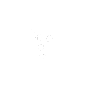 COS(=O)(=O)c1ccc(-n2nc(C(F)(F)F)cc2-c2ccc(C)cc2)cc1